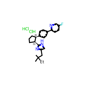 CCC(C)(C)Cc1c[nH]c([C@H]2CCC[C@H]2c2ccc(-c3ccc(F)cn3)cc2)n1.Cl.Cl